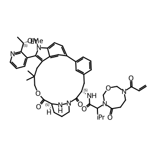 C=CC(=O)N1CCC(=O)N(C(C(=O)N[C@H]2Cc3cccc(c3)-c3ccc4c(c3)c(c(-c3cccnc3[C@H](C)OC)n4CC)CC(C)(C)COC(=O)[C@@H]3CCCN(N3)C2=O)C(C)C)COC1